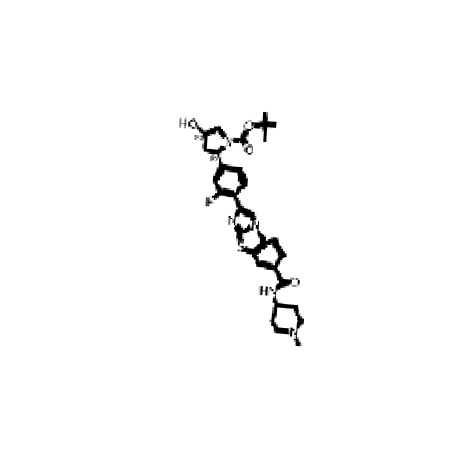 CN1CCC(NC(=O)c2ccc3c(c2)sc2nc(-c4ccc([C@H]5C[C@@H](O)CN5C(=O)OC(C)(C)C)cc4F)cn23)CC1